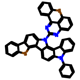 c1ccc(-n2c3ccccc3c3c2ccc2c4c5sc6ccccc6c5ccc4n(-c4nc5c6c(cccc6n4)Sc4ccccc4-5)c23)cc1